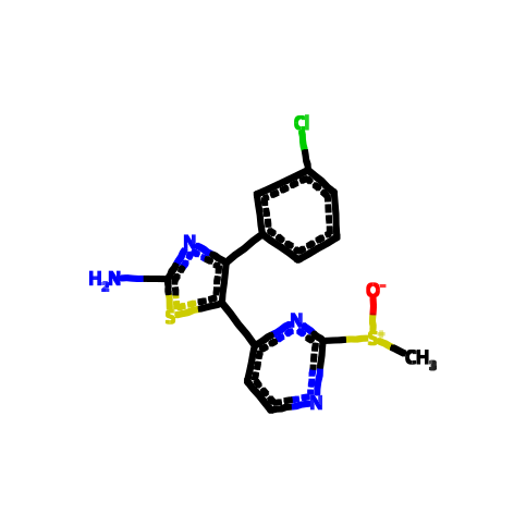 C[S+]([O-])c1nccc(-c2sc(N)nc2-c2cccc(Cl)c2)n1